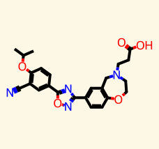 CC(C)Oc1ccc(-c2nc(-c3ccc4c(c3)CN(CCC(=O)O)CCO4)no2)cc1C#N